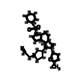 Cc1ccc(-c2nc3cnc4c(ccn4S(=O)(=O)c4ccccc4)c3n2C2CCN(CC#N)C2)o1